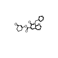 O=C1C=C(OC(=O)c2cc3cccnc3n(Cc3ccccc3)c2=O)CCC1